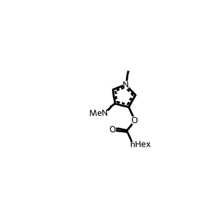 CCCCCCC(=O)Oc1cn(C)cc1NC